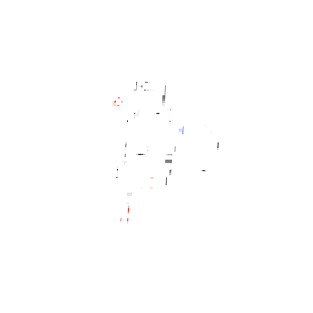 O=C1C=C2C=C[C@H]3CC2(O1)[C@H]1CCCCN31.O=[N+]([O-])O